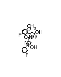 COc1ccc(F)cc1C(CC(=O)O)NC(=O)c1cc(O)n(-c2cccc(F)c2)n1